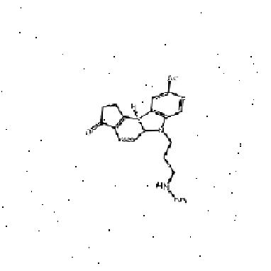 CCCNCCCN1c2ccc(C(C)=O)cc2[C@H]2C3=C(C=CC21)C(=O)CC3